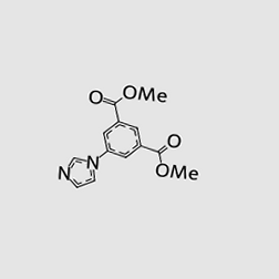 COC(=O)c1cc(C(=O)OC)cc(-n2ccnc2)c1